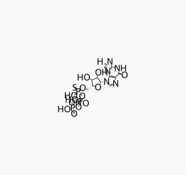 Nc1nc2c(ncn2[C@@H]2O[C@H](COP(O)(=S)OP(=O)(O)OP(=O)(O)O)C(O)C2O)c(=O)[nH]1